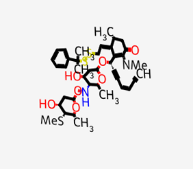 C#C/C=C\C#C[C@H](OC1CC(O)[C@H](NOC2C[C@H](O)[C@H](SC)C(C)O2)C(C)O1)C1=C(NC)C(=O)CC(C)/C1=C/CSSC(C)(C)c1ccccc1